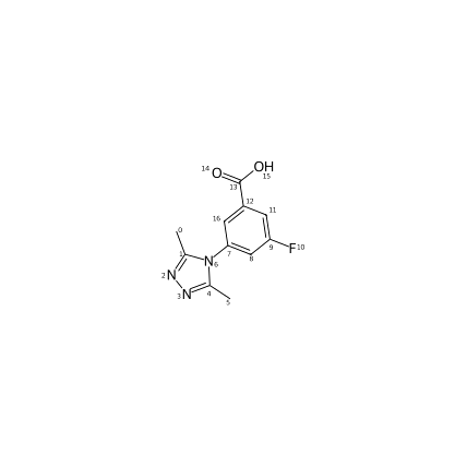 Cc1nnc(C)n1-c1cc(F)cc(C(=O)O)c1